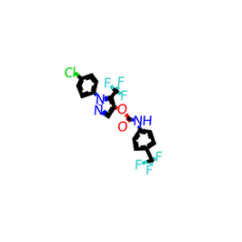 O=C(Nc1ccc(C(F)(F)F)cc1)Oc1cnn(-c2ccc(Cl)cc2)c1C(F)(F)F